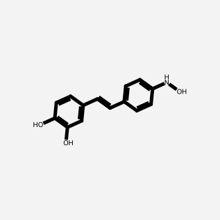 ONc1ccc(/C=C/c2ccc(O)c(O)c2)cc1